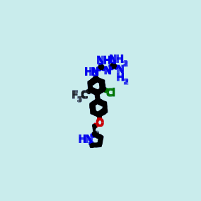 NC(N)=NC(N)Nc1cc(Cl)c(-c2ccc(OC[C@H]3CCCN3)cc2)c(C(F)(F)F)c1